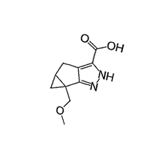 COCC12CC1Cc1c2n[nH]c1C(=O)O